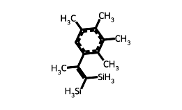 CC(=C([SiH3])[SiH3])c1cc(C)c(C)c(C)c1C